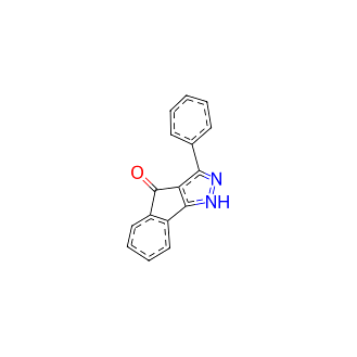 O=C1c2ccccc2-c2[nH]nc(-c3ccccc3)c21